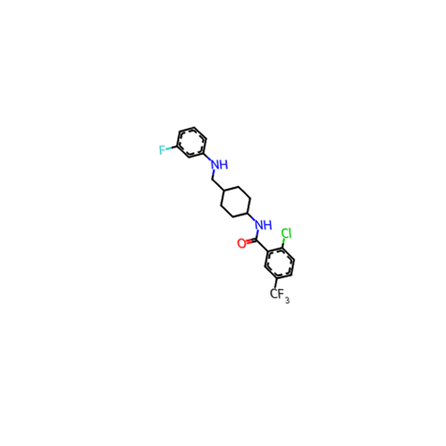 O=C(NC1CCC(CNc2cccc(F)c2)CC1)c1cc(C(F)(F)F)ccc1Cl